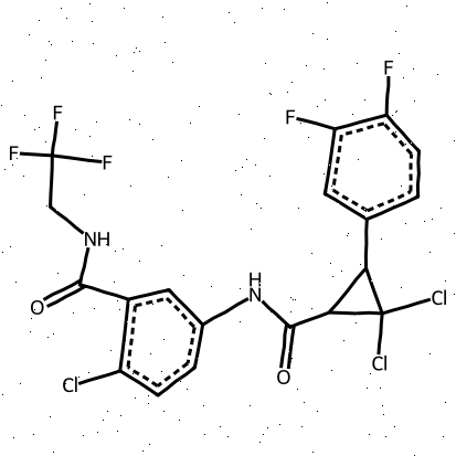 O=C(NCC(F)(F)F)c1cc(NC(=O)C2C(c3ccc(F)c(F)c3)C2(Cl)Cl)ccc1Cl